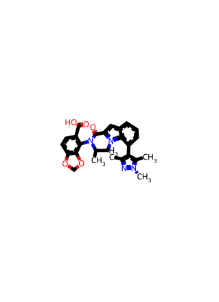 Cc1nn(C)c(C)c1-c1cccc2cc3n(c12)CC(C)N(c1c(C(=O)O)ccc2c1OCO2)C3=O